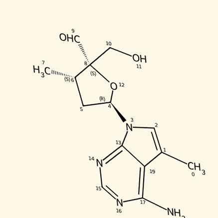 Cc1cn([C@H]2C[C@H](C)[C@@](C=O)(CO)O2)c2ncnc(N)c12